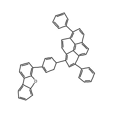 C1=CC(c2cc(-c3ccccc3)c3ccc4ccc(-c5ccccc5)c5ccc2c3c45)CC=C1c1cccc2c1oc1ccccc12